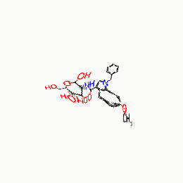 COc1ccc2c(C(=O)N[C@H]3C(O)OC(CO)[C@@H](O)C3O)cn(Cc3ccccc3)c2c1